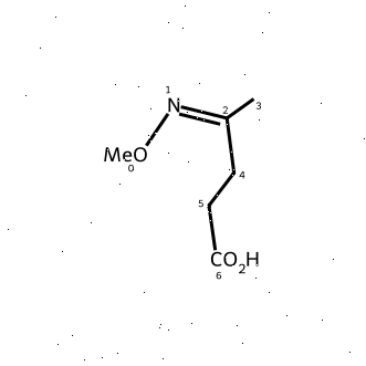 CO/N=C(/C)CCC(=O)O